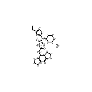 CCc1cc(N(C2CCOCC2)S(=O)(=O)NC(=O)Nc2c3c(cc4c2CCC4)CCC3)on1.[Na]